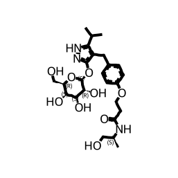 CC(C)c1[nH]nc(O[C@@H]2O[C@H](CO)[C@@H](O)[C@H](O)[C@H]2O)c1Cc1ccc(OCCC(=O)N[C@@H](C)CO)cc1